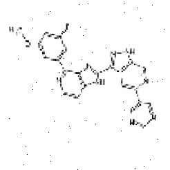 COc1cc(F)cc(-c2nccc3[nH]c(-c4n[nH]c5cnc(-c6cncnc6)cc45)nc23)c1